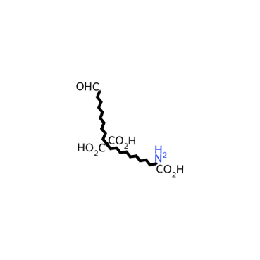 NC(CCCCCCCCCC(CCCCCCCCCCC=O)(C(=O)O)C(=O)O)C(=O)O